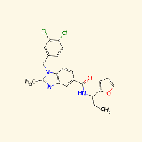 CCC(NC(=O)c1ccc2c(c1)nc(C)n2Cc1ccc(Cl)c(Cl)c1)c1ccco1